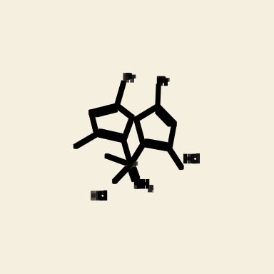 CC1=[C]([Zr]([CH3])([CH3])(=[SiH2])[C]2=C(C)C=C(C(C)C)C2)CC(C(C)C)=C1.Cl.Cl